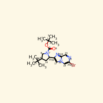 CC(C)(C)OC(=O)N1CC(C(C)(C)C)CC1c1cn2cc(Br)ncc2n1